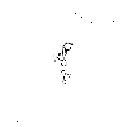 O=C1COC(c2ccc(NCc3cnccn3)c(C(F)(F)F)c2)=NN1